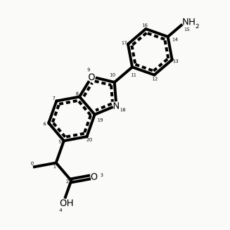 CC(C(=O)O)c1ccc2oc(-c3ccc(N)cc3)nc2c1